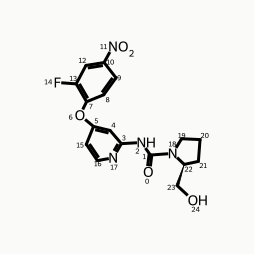 O=C(Nc1cc(Oc2ccc([N+](=O)[O-])cc2F)ccn1)N1CCC[C@H]1CO